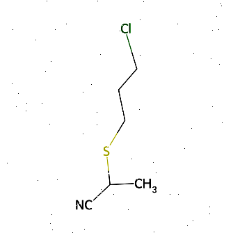 CC(C#N)SCCCCl